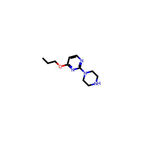 CCCOc1ccnc(N2CCNCC2)n1